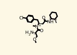 COC[C@H](N)C(=O)N(C)[C@H](CC(=O)N[C@H]1C[CH]CC[C@H]1C)Cc1ccc(Cl)cc1